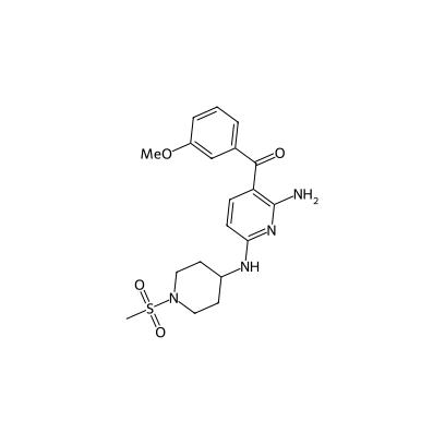 COc1cccc(C(=O)c2ccc(NC3CCN(S(C)(=O)=O)CC3)nc2N)c1